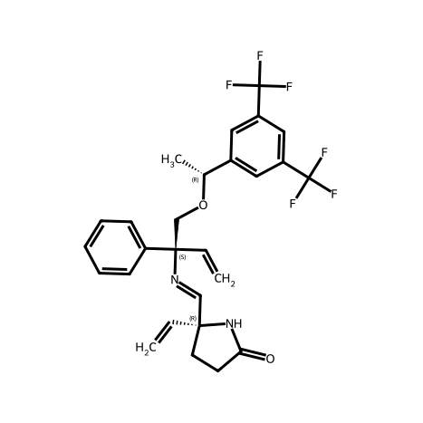 C=C[C@@]1(C=N[C@](C=C)(CO[C@H](C)c2cc(C(F)(F)F)cc(C(F)(F)F)c2)c2ccccc2)CCC(=O)N1